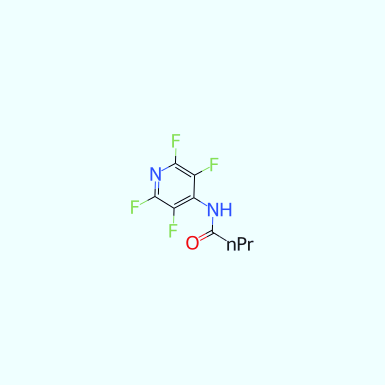 CCCC(=O)Nc1c(F)c(F)nc(F)c1F